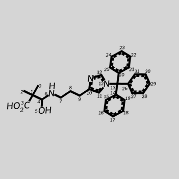 CC(C)(C(=O)O)C(O)NCCCc1cn(C(c2ccccc2)(c2ccccc2)c2ccccc2)cn1